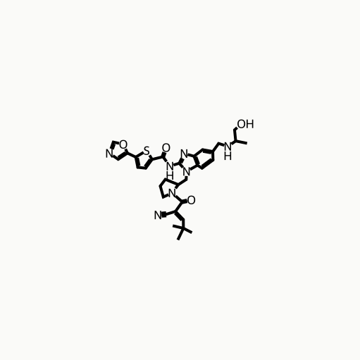 CC(CO)NCc1ccc2c(c1)nc(NC(=O)c1ccc(-c3cnco3)s1)n2CC1CCCN1C(=O)C(C#N)=CC(C)(C)C